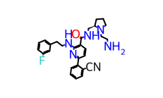 N#Cc1ccccc1-c1ccc(C(=O)NC[C@H]2CCCN2CCN)c(NCCc2cccc(F)c2)n1